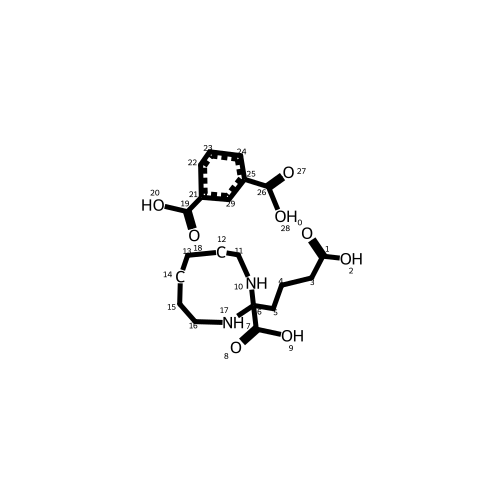 O=C(O)CCCC1(C(=O)O)NCCCCCCN1.O=C(O)c1cccc(C(=O)O)c1